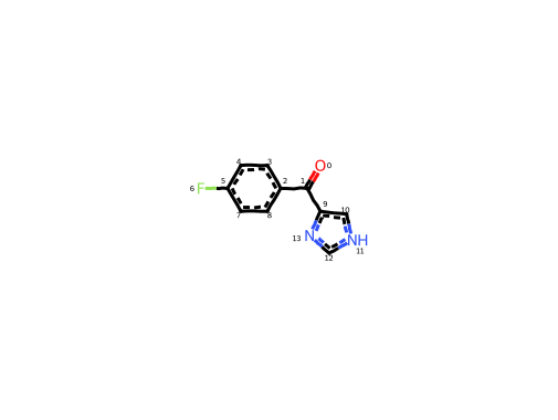 O=C(c1ccc(F)cc1)c1c[nH]cn1